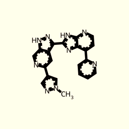 Cn1cc(-c2cc3c(-c4nc5c(-c6ccccn6)ccnc5[nH]4)n[nH]c3cn2)cn1